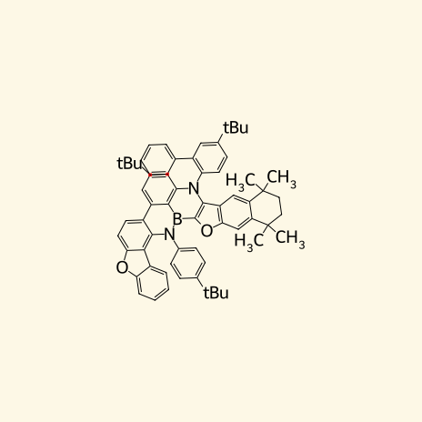 CC(C)(C)c1ccc(N2B3c4oc5cc6c(cc5c4N(c4ccc(C(C)(C)C)cc4-c4ccccc4)c4cc(C(C)(C)C)cc(c43)-c3ccc4oc5ccccc5c4c32)C(C)(C)CCC6(C)C)cc1